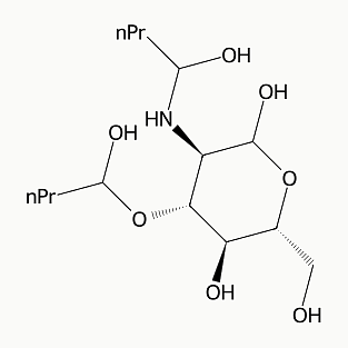 CCCC(O)N[C@H]1C(O)O[C@H](CO)[C@@H](O)[C@@H]1OC(O)CCC